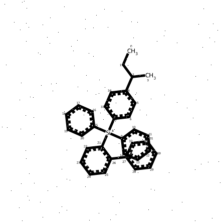 CCC(C)c1ccc([Si](c2ccccc2)(c2ccccc2)c2ccccc2-c2cccnc2)cc1